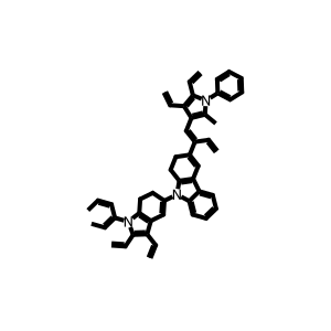 C=C/C(=C\c1c(C=C)c(C=C)n(-c2ccccc2)c1C)C1=Cc2c(n(C3=Cc4c(C=C)c(C=C)n(C(/C=C\C)=C/C)c4CC3)c3ccccc23)CC1